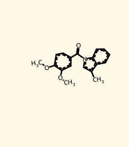 COc1ccc(C(=O)n2cc(C)c3ccccc32)cc1OC